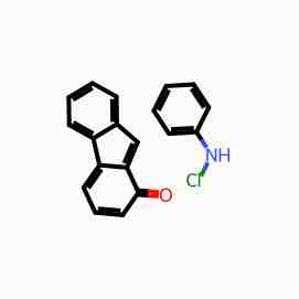 ClNc1ccccc1.O=C1C=CC=C2C1=Cc1ccccc12